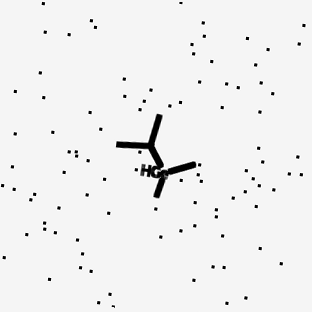 C[CH](C)[GeH]([CH3])[CH3]